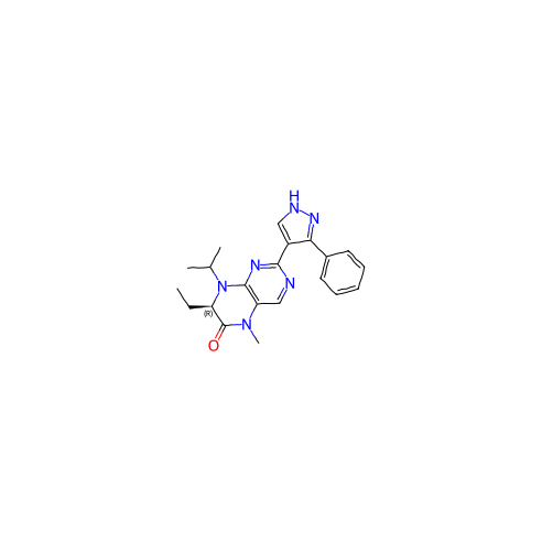 CC[C@@H]1C(=O)N(C)c2cnc(-c3c[nH]nc3-c3ccccc3)nc2N1C(C)C